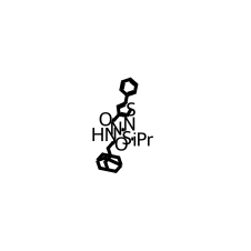 CC(C)Sc1nc2sc(-c3ccccc3)cc2c(=O)n1NC(=O)CC12CC3CC(CC(C3)C1)C2